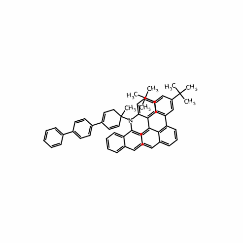 CC(C)(C)c1cc(-c2cccc3cccc(-c4ccccc4N(c4cccc5ccccc45)C4(C)C=CC(c5ccc(-c6ccccc6)cc5)=CC4)c23)cc(C(C)(C)C)c1